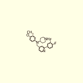 COc1ccc(N(Cc2ccnc(-c3ccc(F)c(F)c3)c2)C2CCNCC2)cc1